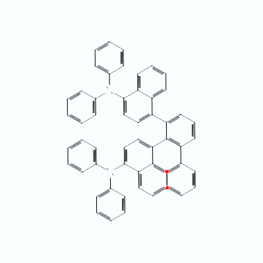 c1ccc(-c2cccc(-c3ccc(N(c4ccccc4)c4ccccc4)c4ccccc34)c2-c2ccc(N(c3ccccc3)c3ccccc3)c3ccccc23)cc1